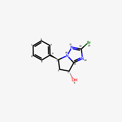 O[C@@H]1C[C@@H](c2ccccc2)n2nc(Br)nc21